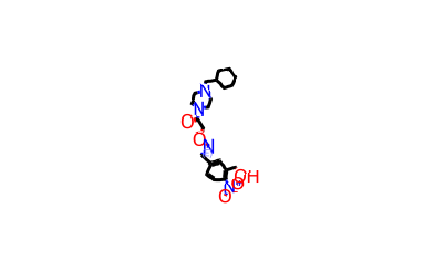 O=C(CO/N=C/c1ccc([N+](=O)[O-])c(CO)c1)N1CCN(CC2CCCCC2)CC1